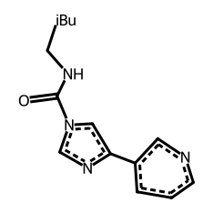 CCC(C)CNC(=O)n1cnc(-c2cccnc2)c1